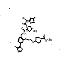 Cc1cc([C@@H](C(=O)N2C[C@H](O)C[C@H]2C(=O)NCc2ccc(-c3scnc3C)cc2OCCOC2CCN(C(=O)OC(C)(C)C)CC2)C(C)C)on1